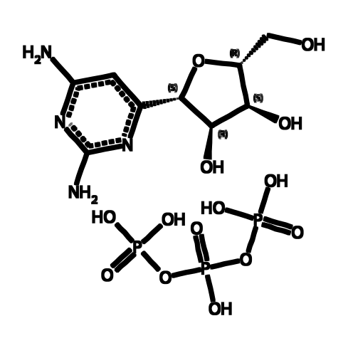 Nc1cc([C@@H]2O[C@H](CO)[C@@H](O)[C@H]2O)nc(N)n1.O=P(O)(O)OP(=O)(O)OP(=O)(O)O